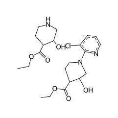 CCOC(=O)C1CCN(c2ncccc2Cl)CC1O.CCOC(=O)C1CCNCC1O